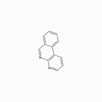 [c]1ccnc2ncc3ccccc3c12